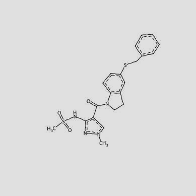 Cn1cc(C(=O)N2CCc3cc(SCc4ccccc4)ccc32)c(NS(C)(=O)=O)n1